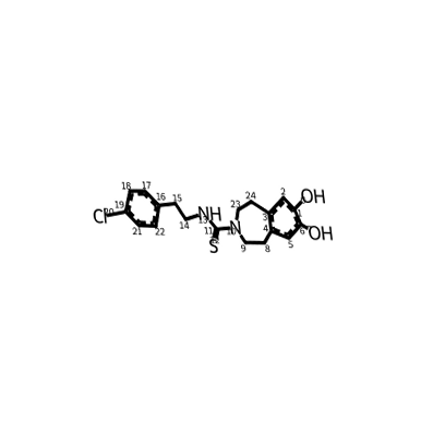 Oc1cc2c(cc1O)CCN(C(=S)NCCc1ccc(Cl)cc1)CC2